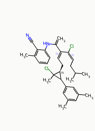 C=C(Nc1cccc(C)c1C#N)C(=C/C[C@H]1C(c2cc(C)cc(C)c2)C1(C)Cl)/C(Cl)=C\CC(C)C